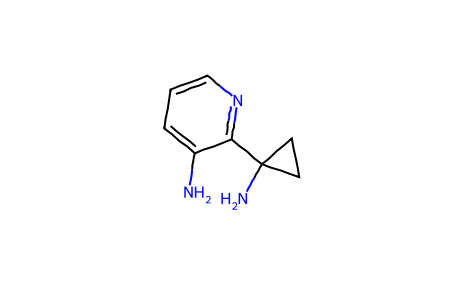 Nc1cccnc1C1(N)CC1